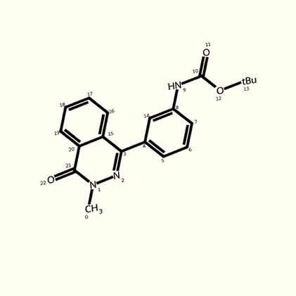 Cn1nc(-c2cccc(NC(=O)OC(C)(C)C)c2)c2ccccc2c1=O